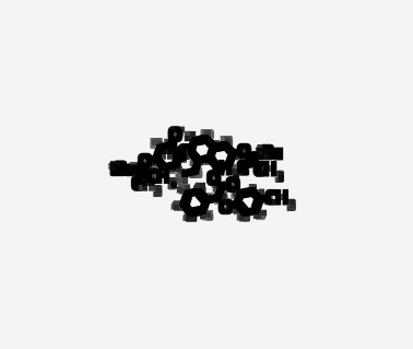 Cc1ccc(O[C@H](C(=O)OC2CC(O[Si](C)(C)C(C)(C)C)C=C3C=CC(C)C(CC[C@@H]4C[C@@H](O[Si](C)(C)C(C)(C)C)CC(=O)O4)C32)c2ccccc2)cc1